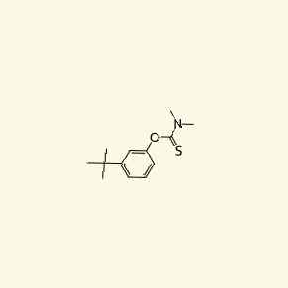 CN(C)C(=S)Oc1cccc(C(C)(C)C)c1